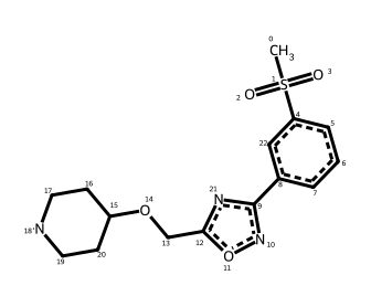 CS(=O)(=O)c1cccc(-c2noc(COC3CC[N]CC3)n2)c1